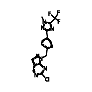 Cn1nc(-c2ccc(Cn3ncc4cnc(Cl)nc43)cc2)nc1C(F)(F)F